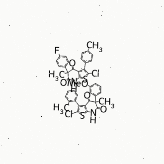 COc1cccc(C2(C)C(=O)Nc3sc(Cl)c(-c4ccccc4C)c3C2=O)c1.Cc1ccc(-c2c(Cl)sc3c2C(=O)C(C)(c2ccc(F)cc2)C(=O)N3)cc1